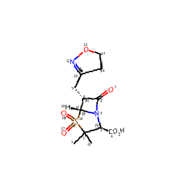 CC1(C)[C@H](C(=O)O)N2C(=O)[C@@H](CC3=NOCC3)[C@H]2S1(=O)=O